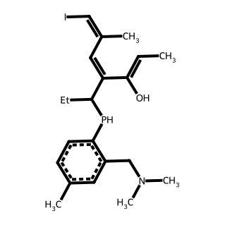 C/C=C(O)/C(=C\C(C)=C/I)C(CC)Pc1ccc(C)cc1CN(C)C